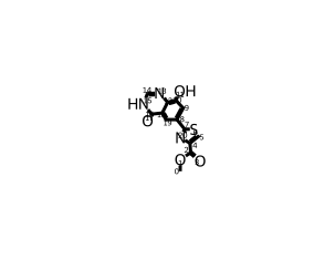 COC(=O)c1csc(-c2cc(O)c3nc[nH]c(=O)c3c2)n1